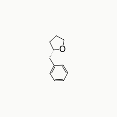 c1ccc(C[C@@H]2CCCO2)cc1